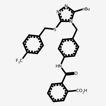 CCCCc1nnc(SCc2ccc(C(F)(F)F)cc2)n1Cc1ccc(NC(=O)c2ccccc2C(=O)O)cc1